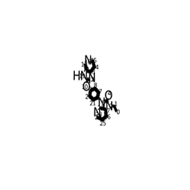 CCn1c(=O)n(-c2ccc(Oc3nc4ccncc4[nH]3)cc2)c2ncccc21